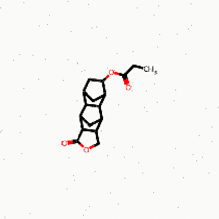 CCC(=O)OC1CC2CC1C1C3CC(C4C(=O)OCC34)C21